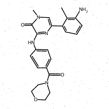 Cc1c(N)cccc1-c1cn(C)c(=O)c(Nc2ccc(C(=O)N3CCOCC3)cc2)n1